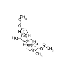 COCOC1CC[C@@]2(C)C(C1)C(O)C=C1[C@@H]3CC[C@H](C(C)COC(C)=O)[C@@]3(C)CC[C@@H]12